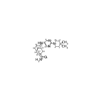 CC1(C)CCN(c2ncc(NC3C4CC5CC3CC(C(N)=O)(C5)C4)cn2)CC1